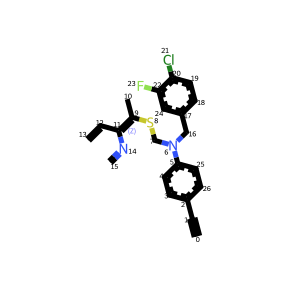 C#Cc1ccc(N(CS/C(C)=C(/C=C)N=C)Cc2ccc(Cl)c(F)c2)cc1